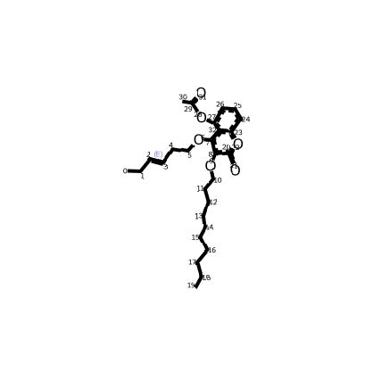 CC/C=C/CCOc1c(OCCCCCCCCCC)c(=O)oc2cccc(OC(C)=O)c12